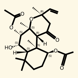 C=C[C@@]1(C)CC(=O)[C@H]2[C@](C)(O1)[C@@H](OC(C)=O)[C@@H](O)[C@H]1C(C)(C)CC[C@H](OC(C)=O)[C@@]12C